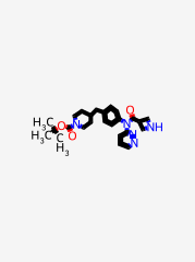 CC(C)(C)OC(=O)N1CCC(Cc2ccc(N(C(=O)C3CNC3)c3cccnn3)cc2)CC1